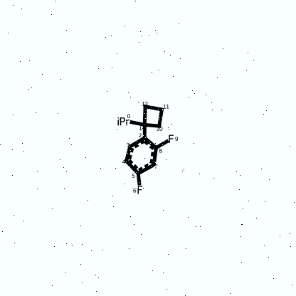 CC(C)C1(c2ccc(F)cc2F)CCC1